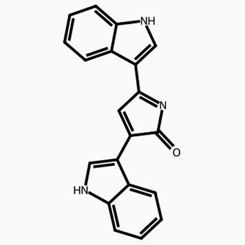 O=C1N=C(c2c[nH]c3ccccc23)C=C1c1c[nH]c2ccccc12